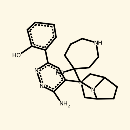 Nc1nnc(-c2ccccc2O)cc1N1CC2CCC(C1)N2CC1(O)CCCNCC1